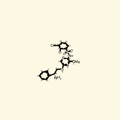 COc1nc(OC[C@H](N)c2ccccc2)cnc1NS(=O)(=O)c1cccc(Cl)c1Cl